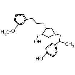 COc1cccc(CCC[C@@H]2CN(CC(C)c3ccc(O)cc3)C[C@@H]2CO)c1